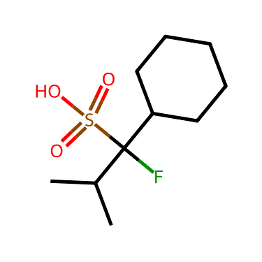 CC(C)C(F)(C1CCCCC1)S(=O)(=O)O